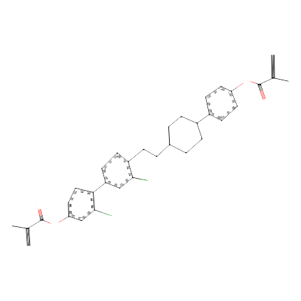 C=C(C)C(=O)Oc1ccc(C2CCC(CCc3ccc(-c4ccc(OC(=O)C(=C)C)cc4F)cc3F)CC2)cc1